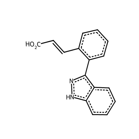 O=C(O)C=Cc1ccccc1-c1n[nH]c2ccccc12